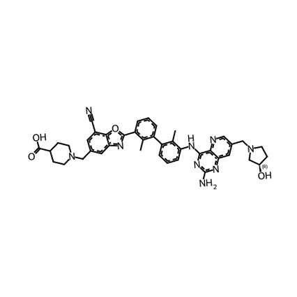 Cc1c(Nc2nc(N)nc3cc(CN4CC[C@@H](O)C4)cnc23)cccc1-c1cccc(-c2nc3cc(CN4CCC(C(=O)O)CC4)cc(C#N)c3o2)c1C